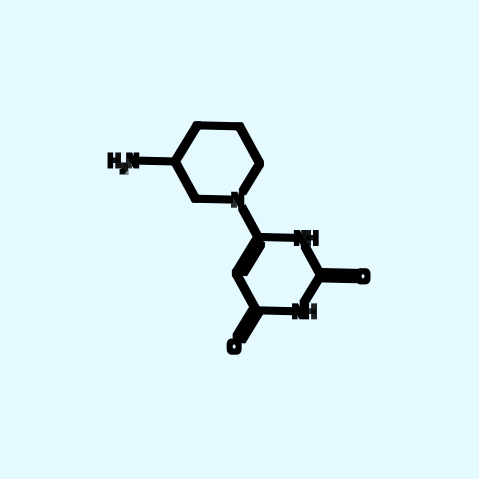 NC1CCCN(c2cc(=O)[nH]c(=O)[nH]2)C1